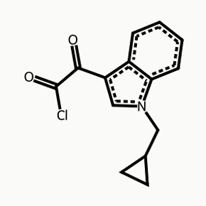 O=C(Cl)C(=O)c1cn(CC2CC2)c2ccccc12